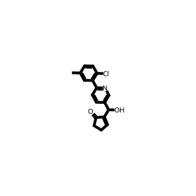 Cc1ccc(Cl)c(-c2ccc(C(O)C3=CCCC3=O)cn2)c1